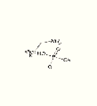 CCCCCCN.O=P([O-])(O)O.[K+]